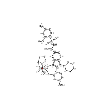 COc1ccc2c(c1)C1CC1(C(=O)N1C3CCC1CN(C)C3)Cn1c-2c(C2CCCCC2)c2ccc(C(=O)NS(=O)(=O)c3ccc(C)cc3OC)cc21